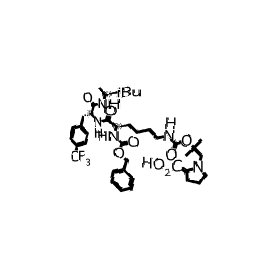 CCC(C)[C@H](C)NC(=O)[C@@H](Cc1ccc(C(F)(F)F)cc1)NC(=O)[C@@H](CCCCNC(=O)OC(C)(C)CN1CCCC1C(=O)O)NC(=O)OCc1ccccc1